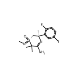 CN=[S@]1(=O)C[C@@](C)(c2cc(I)ccc2F)N=C(N)C1(C)C